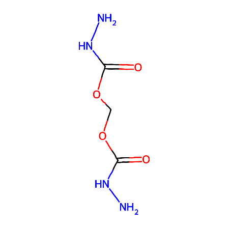 NNC(=O)OCOC(=O)NN